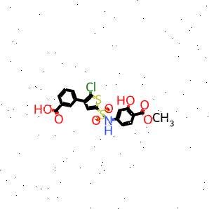 COC(=O)c1ccc(NS(=O)(=O)c2cc(-c3cccc(C(=O)O)c3)c(Cl)s2)cc1O